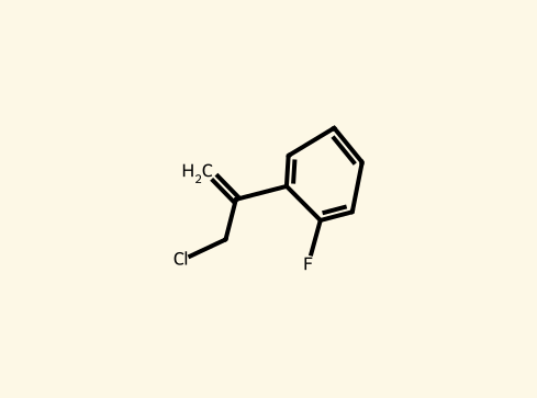 C=C(CCl)c1ccccc1F